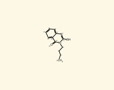 CCCCn1c(S)nc2ccccc2c1=O